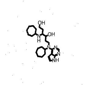 OCCC(NC1CCCCCC1)C(O)CCN(c1ncnc2[nH]ccc12)C1CCCCCC1